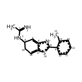 CC(=N)NC1C=c2nc(-c3ccccc3C)sc2=CC1